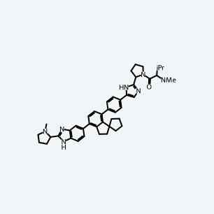 CNC(C(=O)N1CCCC1c1ncc(-c2ccc(-c3ccc(-c4ccc5[nH]c(C6CCCN6C)nc5c4)c4c3C3(CCCC3)CC4)cc2)[nH]1)C(C)C